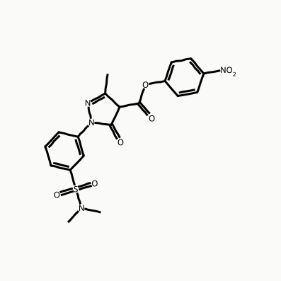 CC1=NN(c2cccc(S(=O)(=O)N(C)C)c2)C(=O)C1C(=O)Oc1ccc([N+](=O)[O-])cc1